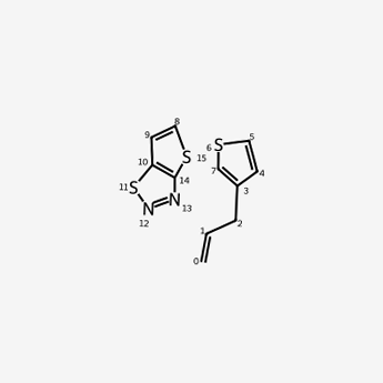 C=CCc1ccsc1.c1cc2snnc2s1